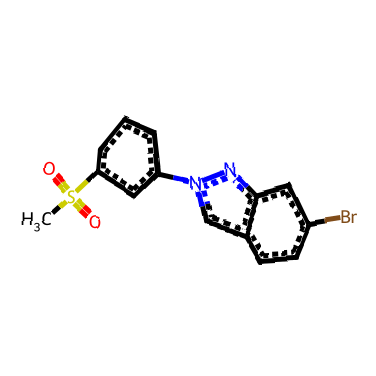 CS(=O)(=O)c1cccc(-n2cc3ccc(Br)cc3n2)c1